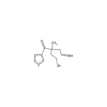 CC(C)CCC(C)(CC=N)C(=O)c1ccsc1